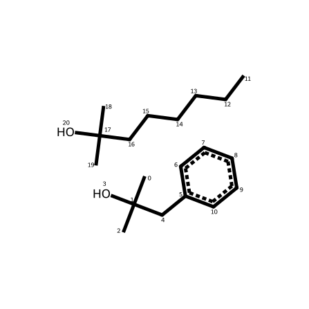 CC(C)(O)Cc1ccccc1.CCCCCCC(C)(C)O